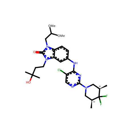 COC(Cn1c(=O)n(CCC(C)(C)O)c2cc(Nc3nc(N4C[C@@H](C)C(F)(F)[C@@H](C)C4)ncc3Cl)ccc21)OC